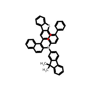 CC1(C)c2ccccc2-c2ccc(N(c3ccc(-c4ccccc4)cc3)c3ccc4ccccc4c3-c3ccc4sc5ccccc5c4c3)cc21